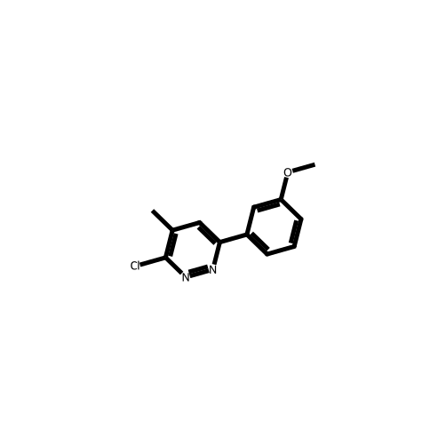 COc1cccc(-c2cc(C)c(Cl)nn2)c1